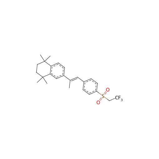 CC(=Cc1ccc(S(=O)(=O)CC(F)(F)F)cc1)c1ccc2c(c1)C(C)(C)CCC2(C)C